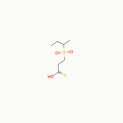 CCC(C)S(=O)(=O)CCC(O)=S